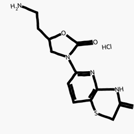 Cl.NCCC1CN(c2ccc3c(n2)NC(=O)CS3)C(=O)O1